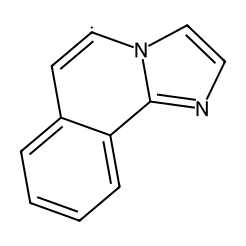 [c]1cc2ccccc2c2nccn12